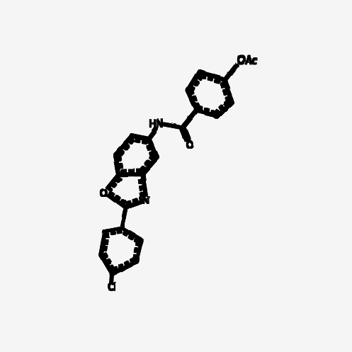 CC(=O)Oc1ccc(C(=O)Nc2ccc3oc(-c4ccc(Cl)cc4)nc3c2)cc1